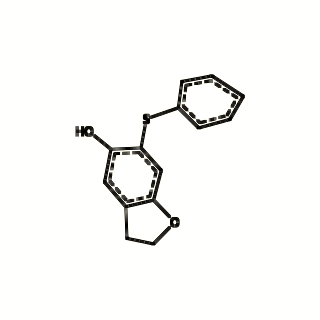 Oc1cc2c(cc1Sc1ccccc1)OCC2